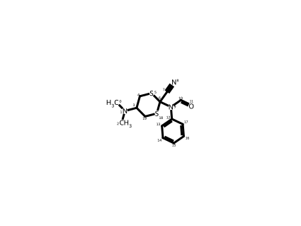 CN(C)C1CSC(C#N)(N(C=O)c2ccccc2)SC1